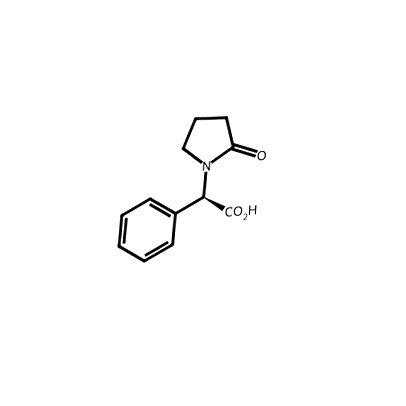 O=C(O)[C@@H](c1ccccc1)N1CCCC1=O